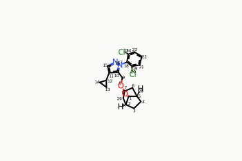 O=C1[C@@H]2CC[C@H]1CC(OCc1c(C3CC3)cnn1-c1c(Cl)cccc1Cl)C2